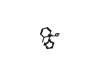 CC1C=CC=C[N+]1(C)n1cccn1.[Cl-]